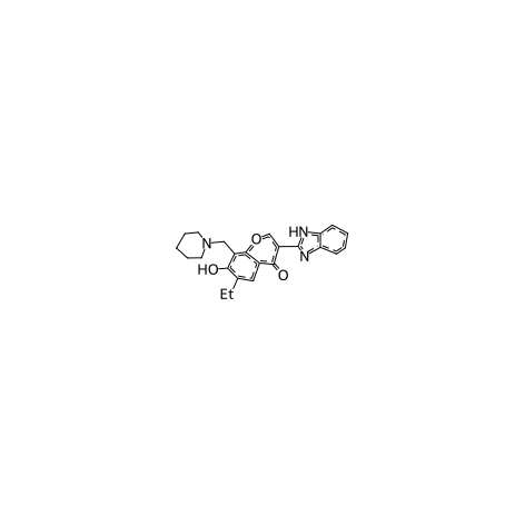 CCc1cc2c(=O)c(-c3nc4ccccc4[nH]3)coc2c(CN2CCCCC2)c1O